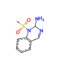 CS(=O)(=O)N1c2ccccc2C=NC1N